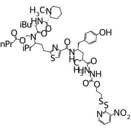 CCCC(=O)OCN(C(=O)[C@@H](NC(=O)[C@H]1CCCCN1C)C(C)CC)C(CCc1nc(C(=O)N[C@@H](Cc2ccc(O)cc2)C[C@H](C)C(=O)NNC(=O)OCCSSc2ncccc2[N+](=O)[O-])cs1)C(C)C